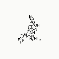 Nc1nc(/C(=N/Oc2cccc(C(F)(F)F)c2)C(=O)NC2C(=O)N3C(C(=O)O)=C(CSc4nncs4)CS[C@H]23)ns1